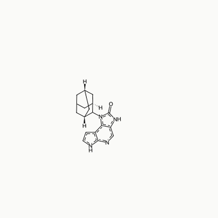 O=c1[nH]c2cnc3[nH]ccc3c2n1C1[C@H]2CC3C[C@H](C2)C[C@H]1C3